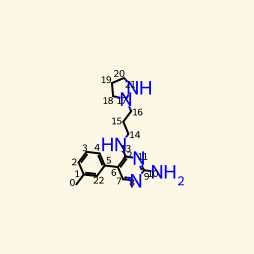 Cc1cccc(-c2cnc(N)nc2NCCCN2CCCN2)c1